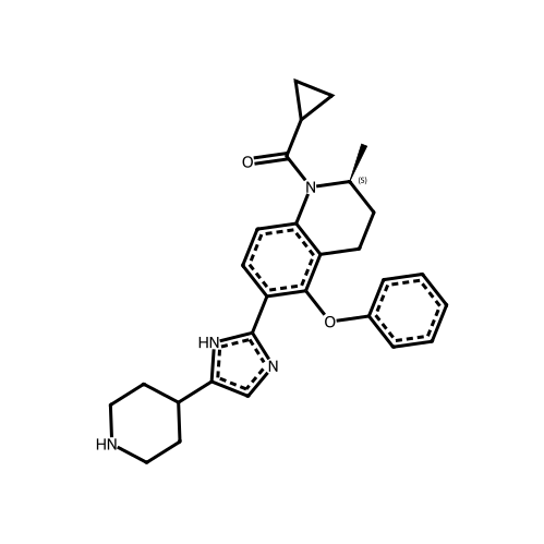 C[C@H]1CCc2c(ccc(-c3ncc(C4CCNCC4)[nH]3)c2Oc2ccccc2)N1C(=O)C1CC1